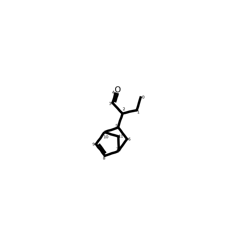 CCC(C=O)C1CC2C=CC1C2